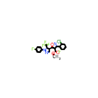 COC(=O)c1c(C2=C(F)C=CCC2Cl)noc1-c1cnn(-c2ccc(F)cc2)c1C(F)(F)F